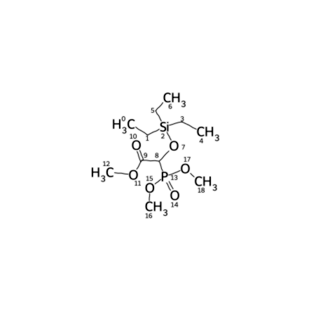 CC[Si](CC)(CC)OC(C(=O)OC)P(=O)(OC)OC